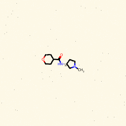 CN1CC[C@@H](NC(=O)C2CCOCC2)C1